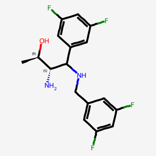 C[C@@H](O)[C@@H](N)C(NCc1cc(F)cc(F)c1)c1cc(F)cc(F)c1